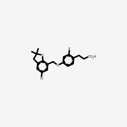 CC1(C)Cc2cc(Cl)cc(COc3ccc(CCC(=O)O)c(F)c3)c2O1